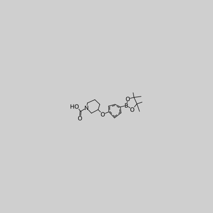 CC1(C)OB(c2ccc(OC3CCCN(C(=O)O)C3)cc2)OC1(C)C